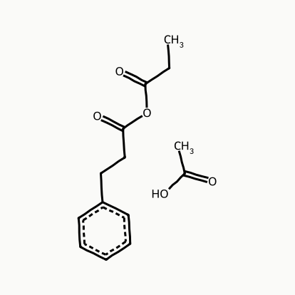 CC(=O)O.CCC(=O)OC(=O)CCc1ccccc1